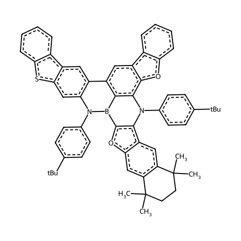 CC(C)(C)c1ccc(N2B3c4oc5cc6c(cc5c4N(c4ccc(C(C)(C)C)cc4)c4c3c(cc3c4oc4ccccc43)-c3cc4c(cc32)sc2ccccc24)C(C)(C)CCC6(C)C)cc1